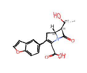 C[C@@H](O)[C@H]1C(=O)N2C(C(=O)O)=C(c3ccc4occc4c3)C[C@H]12